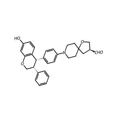 O=C[C@@H]1COC2(CCN(c3ccc([C@H]4c5ccc(O)cc5OC[C@H]4c4ccccc4)cc3)CC2)C1